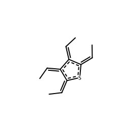 CC=c1c(=C/C)/c(=C\C)s/c1=C/C